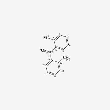 CCc1ccccc1[PH](=O)c1ccccc1C